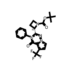 CC(C)(C)OC(=O)N1CC[C@H]1c1nn2ccc(C(F)(F)F)c2c(=O)n1-c1ccccc1